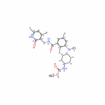 CCN(c1cc(C)cc(C(=O)NCc2c(C)cc(C)[nH]c2=O)c1C)[C@H]1CC[C@H](NC(=O)OC(C)(C)C)CC1